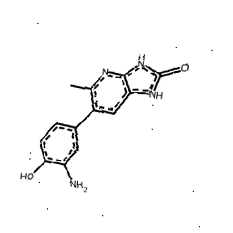 Cc1nc2[nH]c(=O)[nH]c2cc1-c1ccc(O)c(N)c1